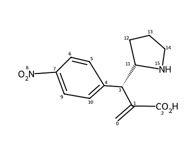 C=C(C(=O)O)[C@H](c1ccc([N+](=O)[O-])cc1)C1CCCN1